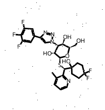 Cc1cccnc1[C@@H](S[C@@H]1O[C@H](CO)[C@H](O)[C@H](n2cc(-c3cc(F)c(F)c(F)c3)nn2)[C@H]1O)C1(O)CCC(F)(F)CC1